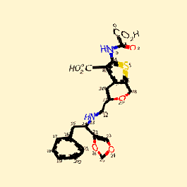 O=C(O)C(=O)Nc1sc2c(c1C(=O)O)CC(CNC(Cc1ccccc1)C1=COCO1)OC2